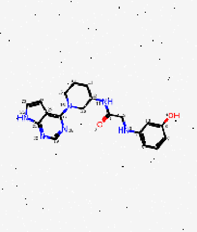 O=C(CNc1cccc(O)c1)N[C@@H]1CCCN(c2ncnc3[nH]ccc23)C1